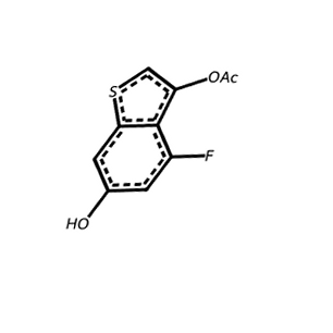 CC(=O)Oc1csc2cc(O)cc(F)c12